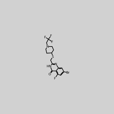 O=c1[nH]c(CSC2CCN(CC(F)(F)F)CC2)nc2cc(Br)cc(F)c12